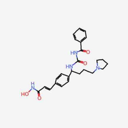 O=C(C=Cc1ccc(C(CCCN2CCCC2)NC(=O)NC(=O)c2ccccc2)cc1)NO